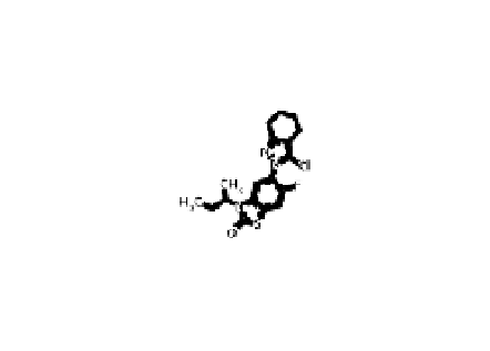 CCC(C)n1c(=O)sc2cc(F)c(-n3nc4c(c3Cl)CCCC4)cc21